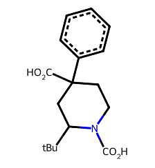 CC(C)(C)C1CC(C(=O)O)(c2ccccc2)CCN1C(=O)O